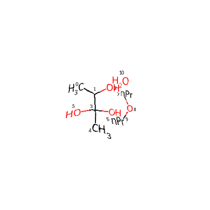 CC(O)C(C)(O)O.CCCOCCC.O